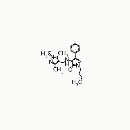 CCCCn1sc(-c2ccccc2)c(NCc2c(C)nn(C)c2C)c1=O